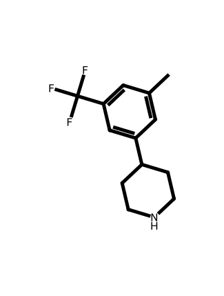 Cc1cc(C2CCNCC2)cc(C(F)(F)F)c1